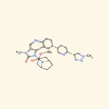 Cn1cc(-c2ccc(-c3ccc4ncc5c(c4c3)n(C3CC4CCC(C3)N4C(=O)OC(C)(C)C)c(=O)n5C)cn2)nn1